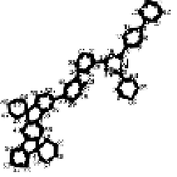 C1=CC(c2nc(-c3ccc(-c4ccccc4)cc3)cc(-c3cccc4c3sc3ccc(-c5ccc6c(c5)-c5cc7c(cc5C65CCCCC5)-c5ccccc5C75CCCCC5)cc34)n2)=CCC1